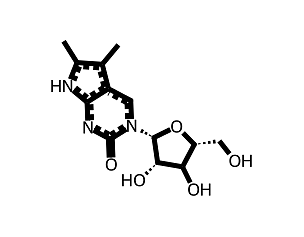 Cc1[nH]c2nc(=O)n([C@@H]3O[C@H](CO)C(O)[C@@H]3O)cc2c1C